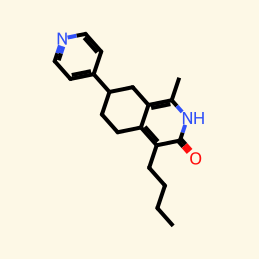 CCCCc1c2c(c(C)[nH]c1=O)CC(c1ccncc1)CC2